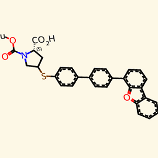 CC(C)(C)OC(=O)N1CC(Sc2ccc(-c3ccc(-c4cccc5c4oc4ccccc45)cc3)cc2)C[C@H]1C(=O)O